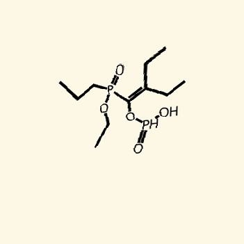 CCCP(=O)(OCC)C(O[PH](=O)O)=C(CC)CC